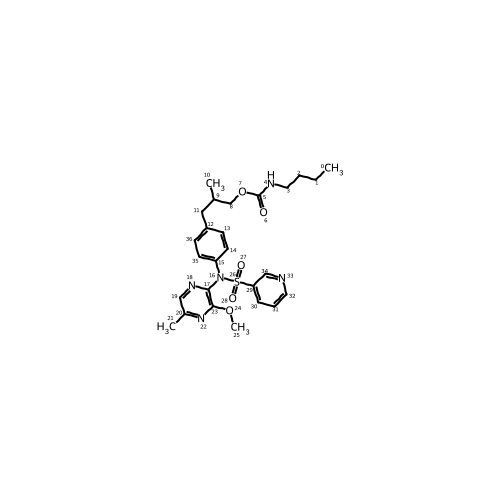 CCCCNC(=O)OCC(C)Cc1ccc(N(c2ncc(C)nc2OC)S(=O)(=O)c2cccnc2)cc1